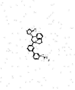 O=C1CCCN1C1CC(c2cccc(-c3cccc(OC(F)(F)F)c3)c2)N2CCc3cccc1c32